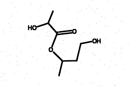 CC(CCO)OC(=O)C(C)O